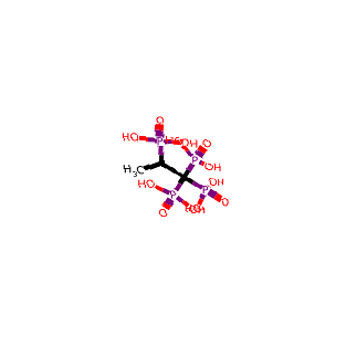 CC(C(P(=O)(O)O)(P(=O)(O)O)P(=O)(O)O)P(=O)(O)O